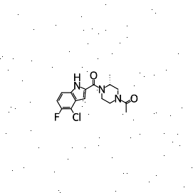 CC(=O)N1CCN(C(=O)c2cc3c(Cl)c(F)ccc3[nH]2)[C@H](C)C1